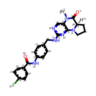 CC(C)N1C(=O)[C@H]2CCCN2c2nc(NCc3ccc(NC(=O)c4ccc(F)cc4)cc3)ncc21